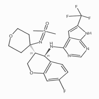 CS(C)(=O)=NC1([C@H]2COc3cc(F)ccc3[C@@H]2Nc2ncnc3[nH]c(C(F)(F)F)cc23)CCOCC1